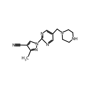 Cc1nn(-c2ncc(CN3CCNCC3)cn2)cc1C#N